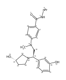 CCCNC(=O)c1ccc(N(C)C[C@@H](c2cccc(O)c2)N2CC[C@H](O)C2)cc1